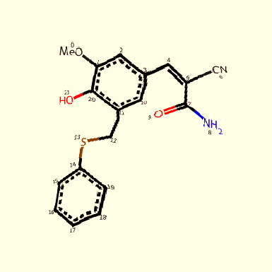 COc1cc(C=C(C#N)C(N)=O)cc(CSc2ccccc2)c1O